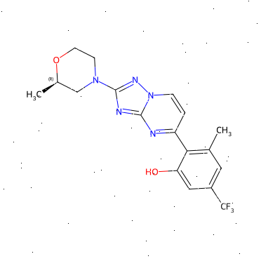 Cc1cc(C(F)(F)F)cc(O)c1-c1ccn2nc(N3CCO[C@H](C)C3)nc2n1